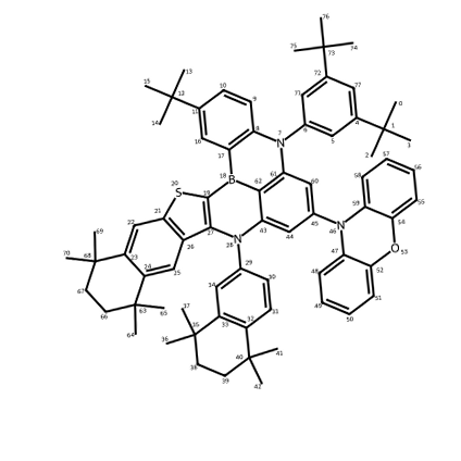 CC(C)(C)c1cc(N2c3ccc(C(C)(C)C)cc3B3c4sc5cc6c(cc5c4N(c4ccc5c(c4)C(C)(C)CCC5(C)C)c4cc(N5c7ccccc7Oc7ccccc75)cc2c43)C(C)(C)CCC6(C)C)cc(C(C)(C)C)c1